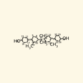 Cc1cc(C(C)(C)c2ccc(-c3ccc(O)cc3)c(C)c2)ccc1-c1ccc(O)cc1